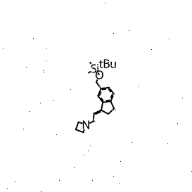 CC(C)(C)[Si](C)(C)OCc1ccc2c(c1)/C(=C/CN1CCC1)CC2